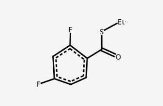 C[CH]SC(=O)c1ccc(F)cc1F